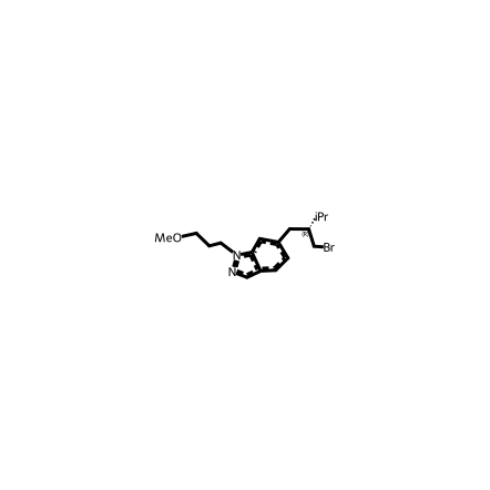 COCCCn1ncc2ccc(C[C@@H](CBr)C(C)C)cc21